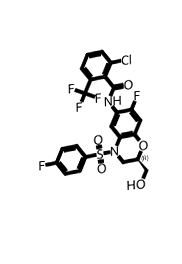 O=C(Nc1cc2c(cc1F)O[C@@H](CO)CN2S(=O)(=O)c1ccc(F)cc1)c1c(Cl)cccc1C(F)(F)F